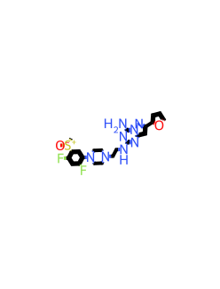 C[S+]([O-])c1cc(N2CCN(CCNc3nc(N)n4nc(-c5ccco5)cc4n3)CC2)c(F)cc1F